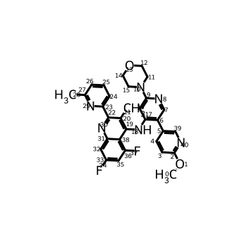 COc1ccc(-c2cnc(N3CCOCC3)cc2Nc2c(C)c(-c3cccc(C)n3)nc3cc(F)cc(F)c23)cn1